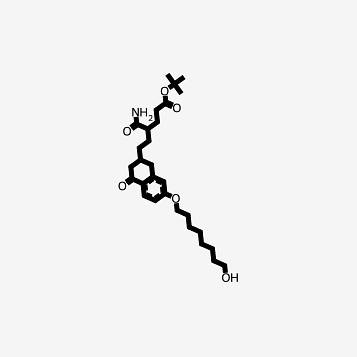 CC(C)(C)OC(=O)CCC(CCC1CC(=O)c2ccc(OCCCCCCCCO)cc2C1)C(N)=O